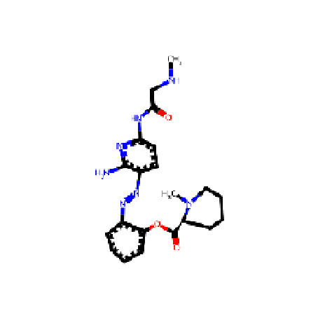 CNCC(=O)Nc1ccc(/N=N/c2ccccc2OC(=O)[C@@H]2CCCCN2C)c(N)n1